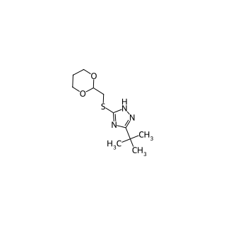 CC(C)(C)c1n[nH]c(SCC2OCCCO2)n1